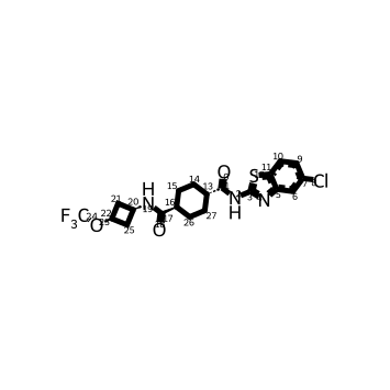 O=C(Nc1nc2cc(Cl)ccc2s1)[C@H]1CC[C@H](C(=O)N[C@H]2C[C@@H](OC(F)(F)F)C2)CC1